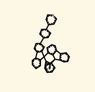 c1ccc(C23c4ccccc4-c4cccc(c42)C2(c4ccccc4-c4ccc(-c5ccc(-c6ccncc6)cc5)cc42)c2ccccc23)cc1